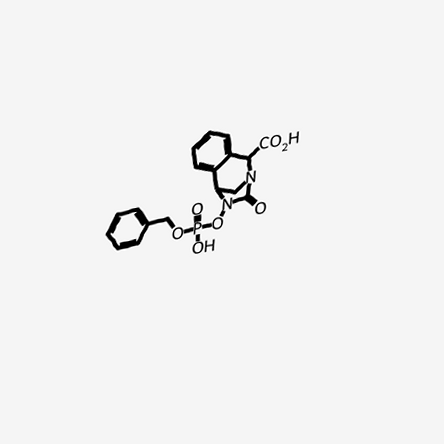 O=C(O)C1c2ccccc2C2CN1C(=O)N2OP(=O)(O)OCc1ccccc1